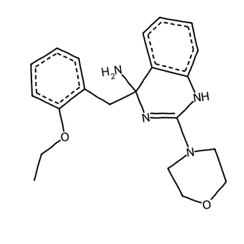 CCOc1ccccc1CC1(N)N=C(N2CCOCC2)Nc2ccccc21